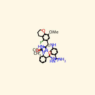 CC(=O)O.COc1cc([C@H](Nc2ccc(C(=N)N)cc2)c2nn(-c3ccccc3C(N)=O)c(=O)[nH]2)c(F)c2c1OCCC2